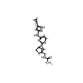 CC(=O)NCC12CCC(C1)N(c1nccc(Nc3cc(C4CC4)[nH]n3)n1)C2